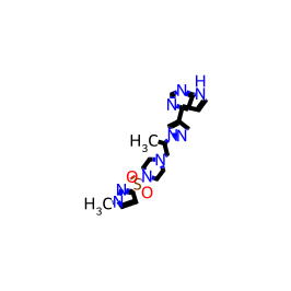 CC(CN1CCN(S(=O)(=O)c2ccn(C)n2)CC1)n1cc(-c2ncnc3[nH]ccc23)cn1